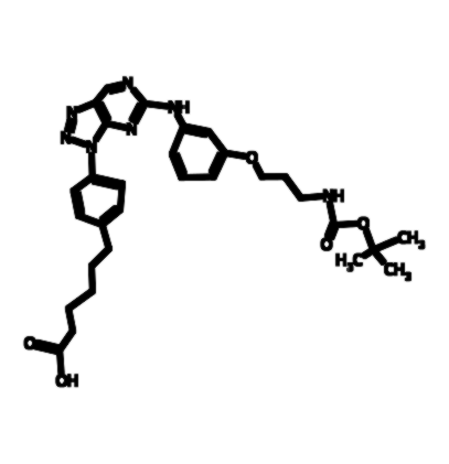 CC(C)(C)OC(=O)NCCCOc1cccc(Nc2ncc3nnn(-c4ccc(CCCCCC(=O)O)cc4)c3n2)c1